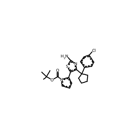 CC(C)(C)OC(=O)n1cccc1-c1sc(N)nc1C1(c2ccc(Cl)cc2)CCCC1